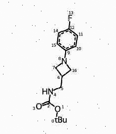 CC(C)(C)OC(=O)NCC1CN(c2ccc(F)cc2)C1